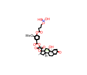 CCCCC(=O)O[C@]1(C(=O)COC(=O)c2ccc(OC(=O)CCCON(O)O)c(OC)c2)[C@@H](C)C[C@H]2C3CCC4=CC(=O)C=C[C@]4(C)[C@@]3(F)[C@@H](O)C[C@@]21C